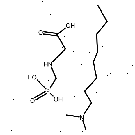 CCCCCCCCN(C)C.O=C(O)CNCP(=O)(O)O